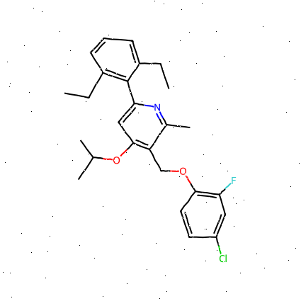 CCc1cccc(CC)c1-c1cc(OC(C)C)c(COc2ccc(Cl)cc2F)c(C)n1